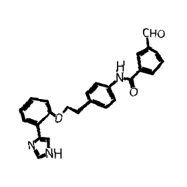 O=Cc1cccc(C(=O)Nc2ccc(CCOc3ccccc3-c3c[nH]cn3)cc2)c1